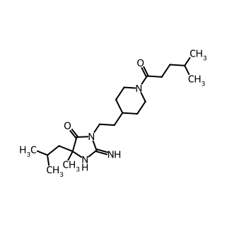 CC(C)CCC(=O)N1CCC(CCN2C(=N)NC(C)(CC(C)C)C2=O)CC1